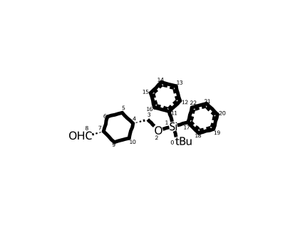 CC(C)(C)[Si](OC[C@H]1CC[C@@H](C=O)CC1)(c1ccccc1)c1ccccc1